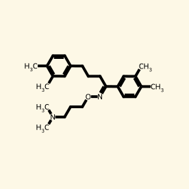 Cc1ccc(CCCC(=NOCCCN(C)C)c2ccc(C)c(C)c2)cc1C